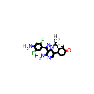 CC(C)n1nc(-c2cc(F)c(N)cc2F)c2c(N)ncc(C3CCC(=O)CC3)c21